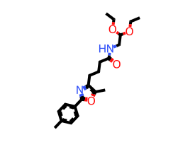 CCOC(CNC(=O)CCCc1nc(-c2ccc(C)cc2)oc1C)OCC